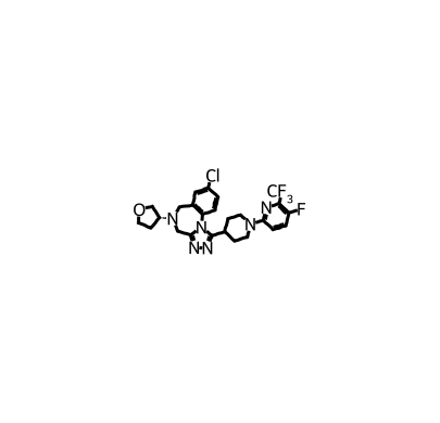 Fc1ccc(N2CCC(c3nnc4n3-c3ccc(Cl)cc3CN([C@@H]3CCOC3)C4)CC2)nc1C(F)(F)F